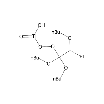 CCCCOC(CC)C(OCCCC)(OCCCC)O[O][Ti](=[O])[OH]